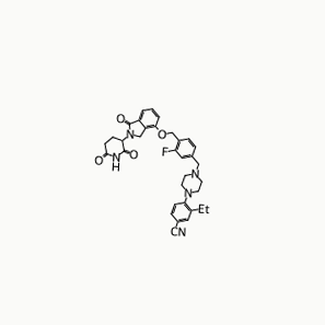 CCc1cc(C#N)ccc1N1CCN(Cc2ccc(COc3cccc4c3CN(C3CCC(=O)NC3=O)C4=O)c(F)c2)CC1